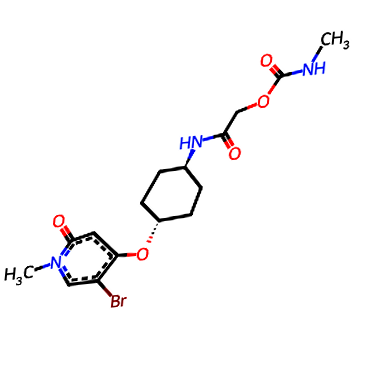 CNC(=O)OCC(=O)N[C@H]1CC[C@H](Oc2cc(=O)n(C)cc2Br)CC1